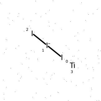 I[I-]I.[Ti]